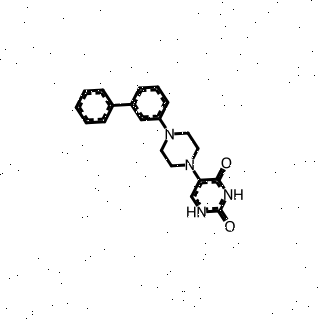 O=c1[nH]cc(N2CCN(c3cccc(-c4ccccc4)c3)CC2)c(=O)[nH]1